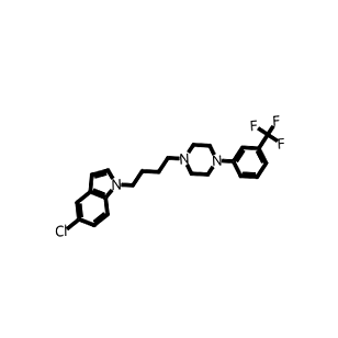 FC(F)(F)c1cccc(N2CCN(CCCCn3ccc4cc(Cl)ccc43)CC2)c1